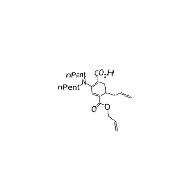 C=CCOC(=O)C1=CC(N(CCCCC)CCCCC)=C(C(=O)O)CC1CC=C